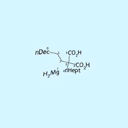 CCCCCCCCCCCCC(CCCCCCC)(C(=O)O)C(=O)O.[MgH2]